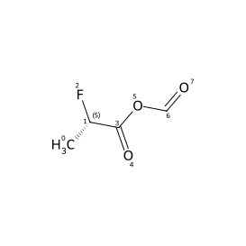 C[C@H](F)C(=O)OC=O